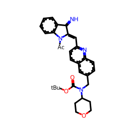 CC(=O)N1/C(=C\c2ccc3cc(CN(C(=O)OC(C)(C)C)C4CCOCC4)ccc3n2)C(=N)c2ccccc21